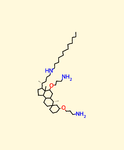 CCCCCCCCCCCCNCCC[C@@H](C)C1CCC2C3CCC4(CCC[C@@H](OCCCN)C4)[C@@H](C)C3C[C@H](OCCCN)C21C